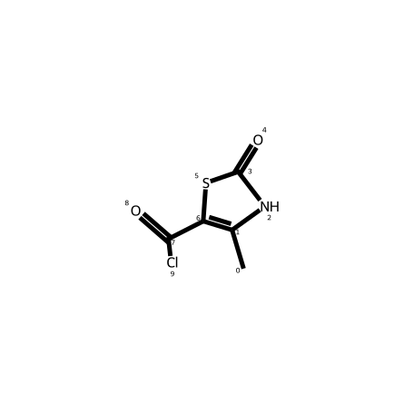 Cc1[nH]c(=O)sc1C(=O)Cl